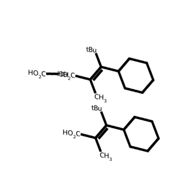 CC(C(=O)O)=C(C1CCCCC1)C(C)(C)C.CC(C(=O)O)=C(C1CCCCC1)C(C)(C)C.O=C(O)O